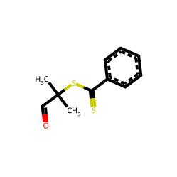 CC(C)(C=O)SC(=S)c1ccccc1